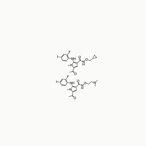 CC(=O)c1cc(C(=O)NOCC2CC2)c(Nc2ccc(I)cc2F)n1C.CC(=O)c1cc(C(=O)NOCCN(C)C)c(Nc2ccc(I)cc2F)n1C